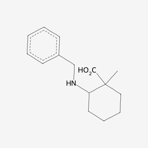 CC1(C(=O)O)CCCCC1NCc1ccccc1